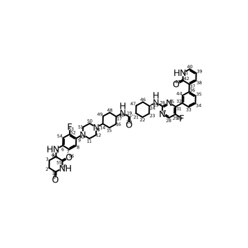 O=C1CC[C@@H](Nc2ccc(N3CCN(C4CCC(NC(=O)[C@H]5CC[C@H](Nc6ncc(F)c(-c7cccc(-c8ccc[nH]c8=O)c7)n6)CC5)CC4)CC3)c(F)c2)C(=O)N1